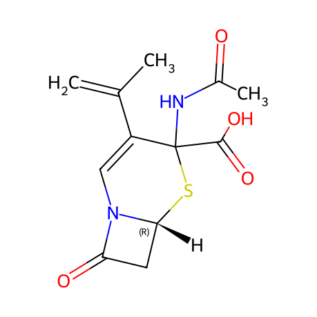 C=C(C)C1=CN2C(=O)C[C@H]2SC1(NC(C)=O)C(=O)O